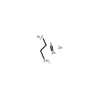 [CH2]CCC.[S]=[Zn].[Zn]